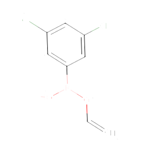 C=COB(O)c1cc(Cl)cc(Cl)c1